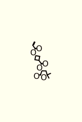 C=CC(=O)OC1CC(C(=O)OC2CC(C)(C)OC2=O)C1